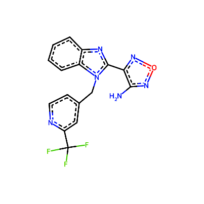 Nc1nonc1-c1nc2ccccc2n1Cc1ccnc(C(F)(F)F)c1